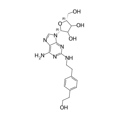 Nc1nc(NCCc2ccc(CCO)cc2)nc2c1ncn2[C@@H]1O[C@H](CO)C(O)C1O